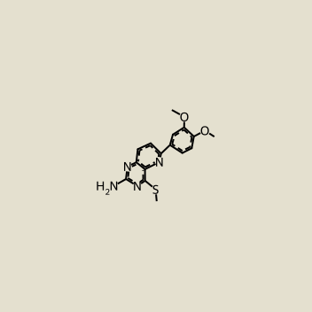 COc1ccc(-c2ccc3nc(N)nc(SC)c3n2)cc1OC